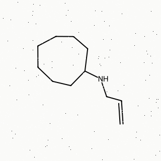 C=CCNC1CCCCCCC1